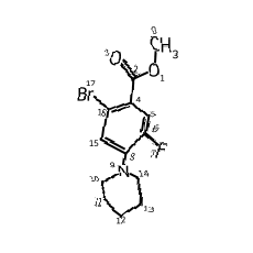 COC(=O)c1cc(F)c(N2CCCCC2)cc1Br